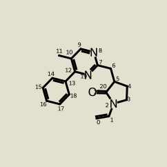 C=CN1CCC(Cc2ncc(C)c(-c3ccccc3)n2)C1=O